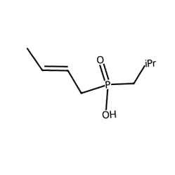 CC=CCP(=O)(O)CC(C)C